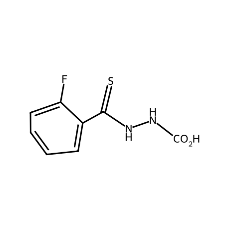 O=C(O)NNC(=S)c1ccccc1F